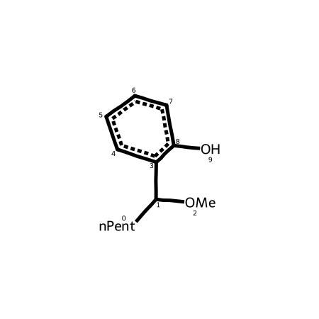 CCCCCC(OC)c1ccccc1O